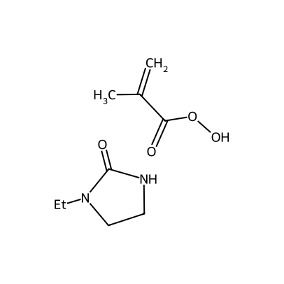 C=C(C)C(=O)OO.CCN1CCNC1=O